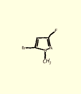 Cn1nc(F)cc1Br